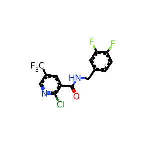 O=C(NCc1ccc(F)c(F)c1)c1cc(C(F)(F)F)cnc1Cl